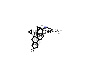 C[C@]12CC[C@H]3[C@H]([C@@H]1[C@@H]1C[C@@H]1[C@@]2(O)/C=C\OC(=O)O)[C@@H](C1CC1)CC1=CC(=O)CC[C@@H]13